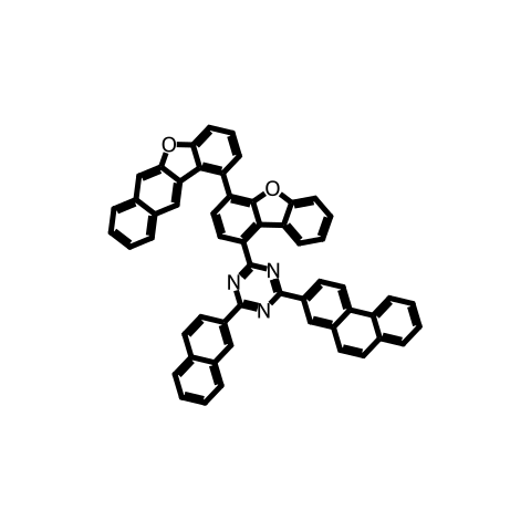 c1ccc2cc(-c3nc(-c4ccc5c(ccc6ccccc65)c4)nc(-c4ccc(-c5cccc6oc7cc8ccccc8cc7c56)c5oc6ccccc6c45)n3)ccc2c1